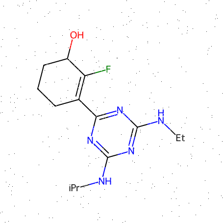 CCNc1nc(NC(C)C)nc(C2=C(F)C(O)CCC2)n1